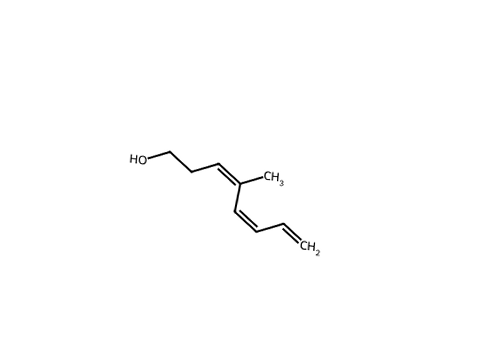 C=C/C=C\C(C)=C/CCO